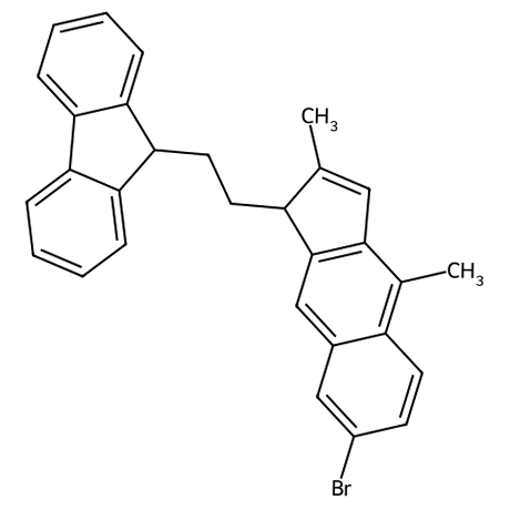 CC1=Cc2c(cc3cc(Br)ccc3c2C)C1CCC1c2ccccc2-c2ccccc21